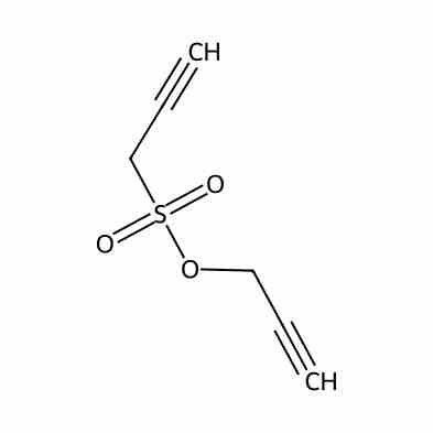 C#CCOS(=O)(=O)CC#C